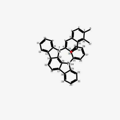 Cc1ccc2cc(-n3c4ccccc4c4ccc5c6ccccc6n(-c6ccccc6)c5c43)ccc2c1C